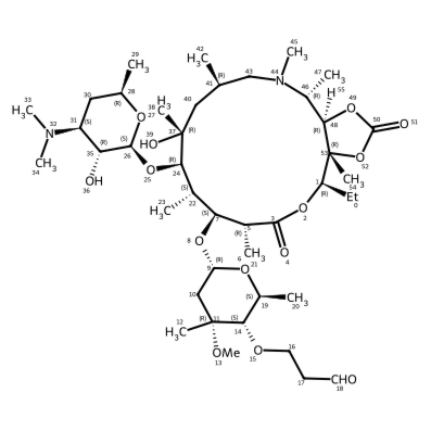 CC[C@H]1OC(=O)[C@H](C)[C@@H](O[C@H]2C[C@@](C)(OC)[C@@H](OCCC=O)[C@H](C)O2)[C@H](C)[C@@H](O[C@@H]2O[C@H](C)C[C@H](N(C)C)[C@H]2O)[C@](C)(O)C[C@@H](C)CN(C)[C@H](C)[C@H]2OC(=O)O[C@@]21C